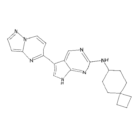 c1cc2nc(-c3c[nH]c4nc(NC5CCC6(CCC6)CC5)ncc34)ccn2n1